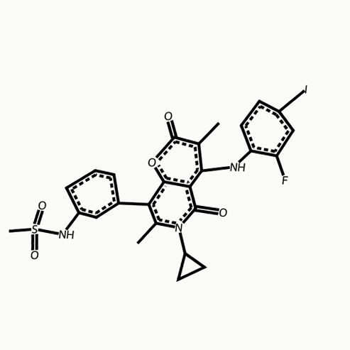 Cc1c(Nc2ccc(I)cc2F)c2c(=O)n(C3CC3)c(C)c(-c3cccc(NS(C)(=O)=O)c3)c2oc1=O